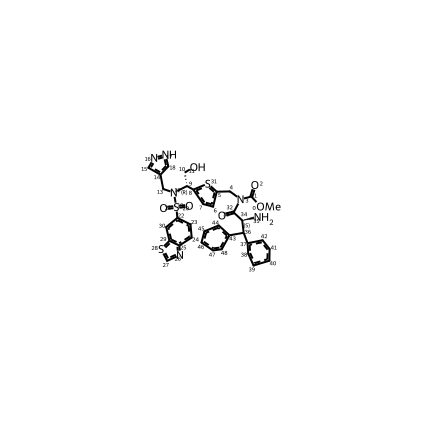 COC(=O)N(Cc1ccc([C@@H](CO)N(Cc2cn[nH]c2)S(=O)(=O)c2ccc3ncsc3c2)s1)C(=O)[C@@H](N)C(c1ccccc1)c1ccccc1